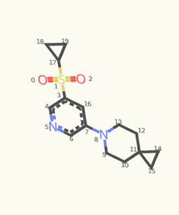 O=S(=O)(c1cncc(N2CCC3(CC2)CC3)c1)C1CC1